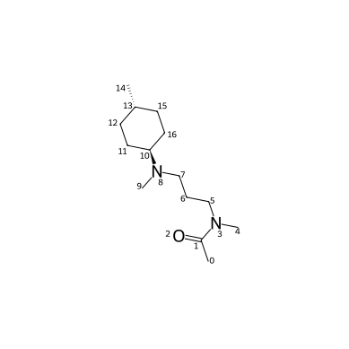 CC(=O)N(C)CCCN(C)[C@H]1CC[C@H](C)CC1